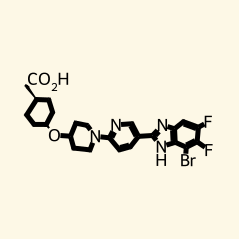 O=C(O)C[C@H]1CC[C@H](OC2CCN(c3ccc(-c4nc5cc(F)c(F)c(Br)c5[nH]4)cn3)CC2)CC1